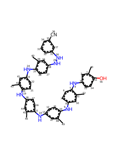 Cc1cc(Nc2ccc(Nc3ccc(Nc4ccc(Nc5ccc(Nc6ccc(NNc7cccc(C#N)c7)cc6C)cc5C)cc4C)cc3C)cc2C)ccc1O